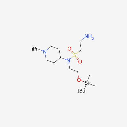 CC(C)N1CCC(N(CCO[Si](C)(C)C(C)(C)C)S(=O)(=O)CCN)CC1